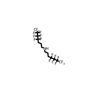 FC(F)(F)C(F)(F)C(F)(F)C(F)(F)CCCNCCCC(F)(F)C(F)(F)C(F)(F)C(F)(F)F